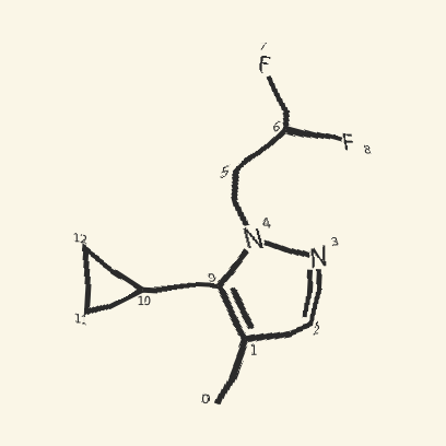 Cc1[c]nn(CC(F)F)c1C1CC1